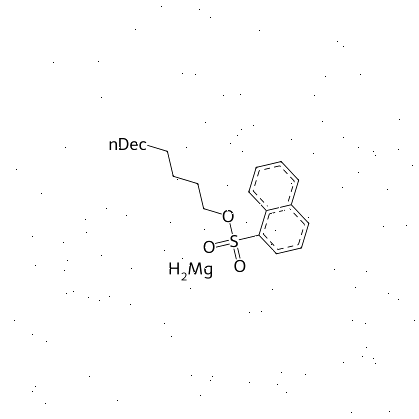 CCCCCCCCCCCCCCOS(=O)(=O)c1cccc2ccccc12.[MgH2]